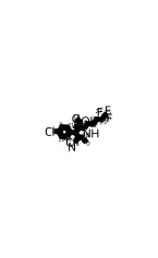 CC1=C(C#N)C(c2ccc(Cl)cc2Cl)C(C)(C(=O)O)C(CCCCC(F)(F)F)N1